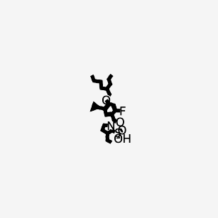 CCCCC(CCC)COc1cc(F)c(C(=O)N2CCC(CC)C2S(=O)O)cc1C1CC1